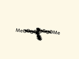 COCCOCCOCCOc1ccsc1-c1sc(-c2cc3sccc3s2)cc1OCCOCCOCCOC